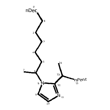 CCCCCCCCCCCCCCCC(C)n1ccnc1C(C)CCCCC